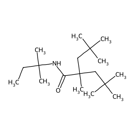 CCC(C)(C)NC(=O)C(C)(CC(C)(C)C)CC(C)(C)C